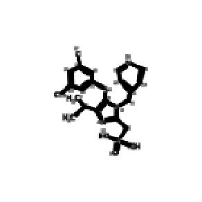 CC(C)c1nc(CP(=O)(O)O)n(Cc2ccncc2)c1Sc1cc(Cl)cc(Cl)c1